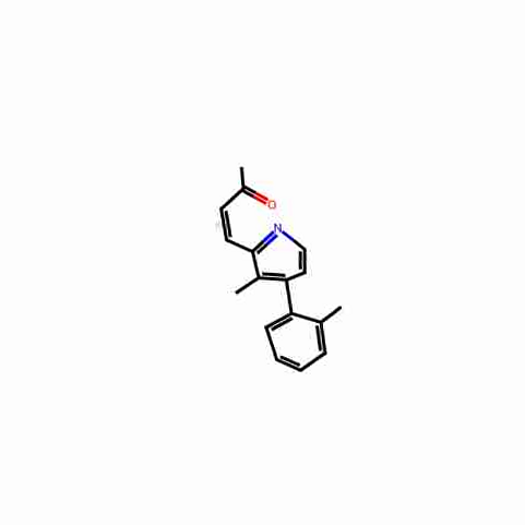 CC(=O)/C=C\c1nccc(-c2ccccc2C)c1C